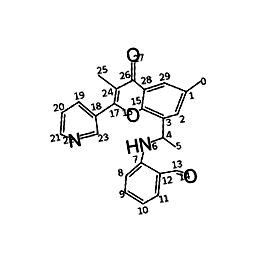 Cc1cc(C(C)Nc2ccccc2C=O)c2oc(-c3cccnc3)c(C)c(=O)c2c1